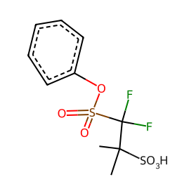 CC(C)(C(F)(F)S(=O)(=O)Oc1ccccc1)S(=O)(=O)O